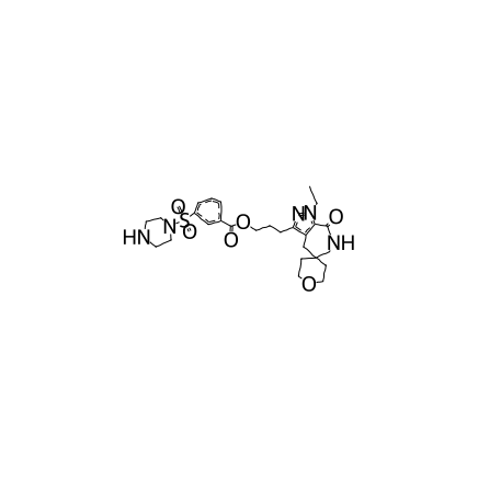 CCn1nc(CCCOC(=O)c2cccc(S(=O)(=O)N3CCNCC3)c2)c2c1C(=O)NCC1(CCOCC1)C2